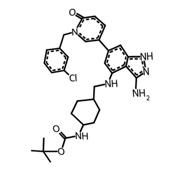 CC(C)(C)OC(=O)NC1CCC(CNc2cc(-c3ccc(=O)n(Cc4cccc(Cl)c4)c3)cc3[nH]nc(N)c23)CC1